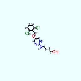 CN(CCCCO)c1ncc(OCc2c(Cl)cccc2Cl)cn1